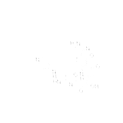 N=C(/C=C\Nc1ccncc1)N1CCOC(C(O)c2cc(=O)c3c(ccc4c(N)noc43)[nH]2)C1=O